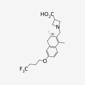 CC1=C(CN2CC(C(=O)O)C2)[C@@H](C)Cc2cc(OCCCC(F)(F)F)ccc21